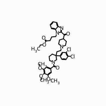 CCOC(=O)CCCn1c(C(=O)C2CCN(CCC3(c4ccc(Cl)c(Cl)c4)CCCN(C(=O)c4cc(OC)c(OC)c(OC)c4)C3)CC2)nc2ccccc21